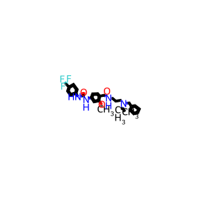 COc1cc(NC(=O)Nc2ccc(C(F)(F)F)cc2)ccc1C(=O)NCCCN(Cc1ccccc1)C(C)C